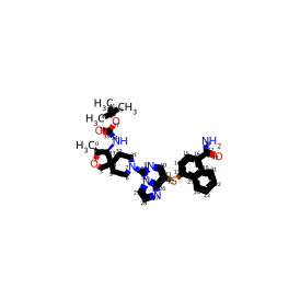 C[C@@H]1OCC2(CCN(c3ncc(Sc4ccc(C(N)=O)c5ccccc45)c4nccn34)CC2)[C@@H]1NC(=O)OC(C)(C)C